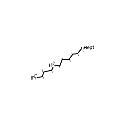 CCCCCCCCCCCCNCCCC(C)C